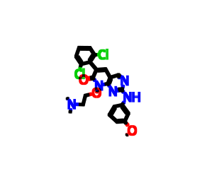 COc1cccc(Nc2ncc3cc(-c4c(Cl)cccc4Cl)c(=O)n(OCCN(C)C)c3n2)c1